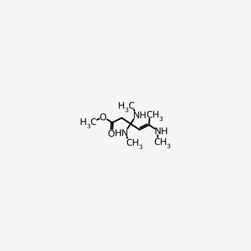 CNC(C)=CC(CC(=O)OC)(NC)NC